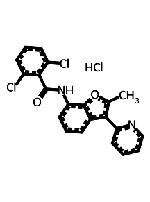 Cc1oc2c(NC(=O)c3c(Cl)cccc3Cl)cccc2c1-c1ccccn1.Cl